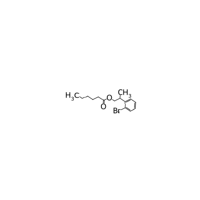 CCCCCC(=O)OCC(C)c1ccccc1Br